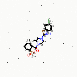 CCS(=O)(=O)c1ccccc1C(=O)N1CCN(C2Nc3ccc(F)cc3S2)CC1C